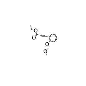 CCOC(=O)C#Cc1ccccc1OCOC